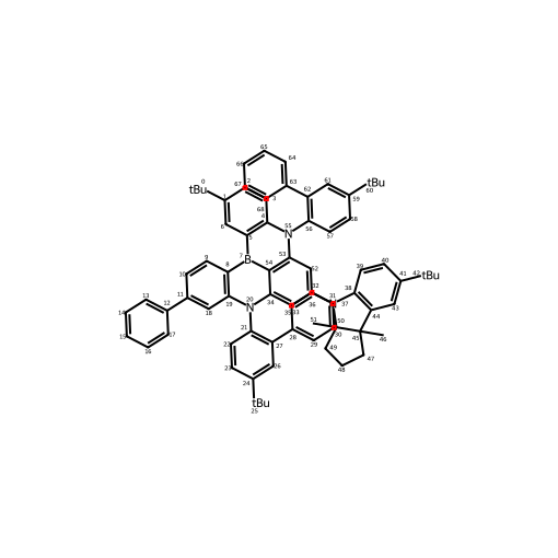 CC(C)(C)c1ccc2c(c1)B1c3ccc(-c4ccccc4)cc3N(c3ccc(C(C)(C)C)cc3-c3ccccc3)c3cc(N4c5ccc(C(C)(C)C)cc5C5(C)CCCC45C)cc(c31)N2c1ccc(C(C)(C)C)cc1-c1ccccc1